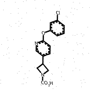 O=C(O)N1CC(c2ccc(Oc3cccc(Cl)c3)nc2)C1